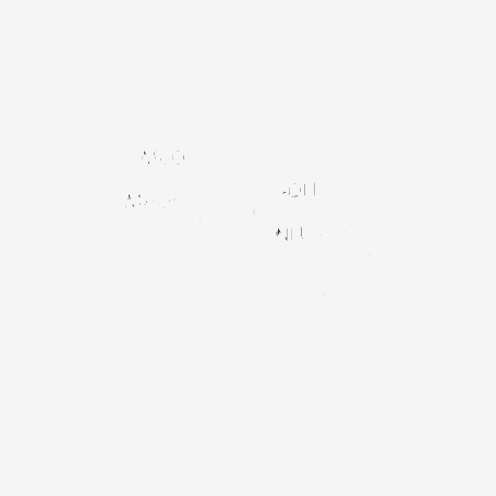 COc1cc2c(cc1OC)C[C@@H](NCC(c1ccccc1)c1ccccc1)[C@H](O)C2